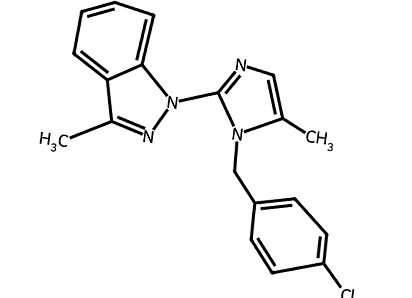 Cc1nn(-c2ncc(C)n2Cc2ccc(Cl)cc2)c2ccccc12